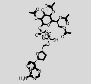 CC(=O)OC[C@H](OC(C)=O)C1OC(OP(=O)(O)OP(=O)(S)OC[C@@H]2CC[C@H](c3cnn4c(N)ncnc34)O2)C(OC(C)=O)C(O)C1OC(C)=O